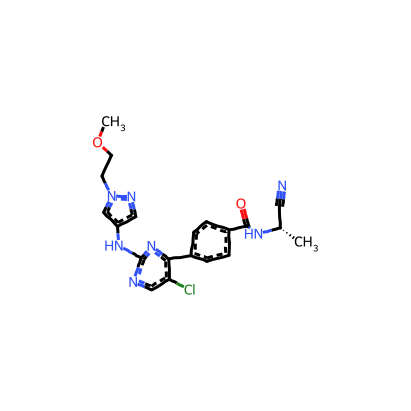 COCCn1cc(Nc2ncc(Cl)c(-c3ccc(C(=O)N[C@@H](C)C#N)cc3)n2)cn1